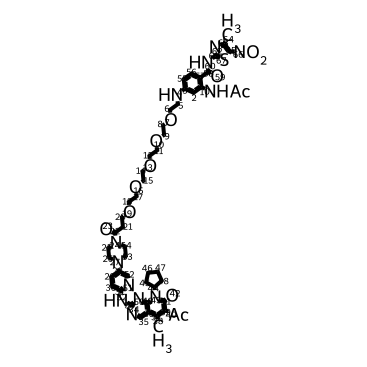 CC(=O)Nc1cc(NCCOCCOCCOCCOCCOCCC(=O)N2CCN(c3ccc(Nc4ncc5c(C)c(C(C)=O)c(=O)n(C6CCCC6)c5n4)nc3)CC2)ccc1C(=O)Nc1nc(C)c([N+](=O)[O-])s1